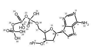 CCCO[C@@H]1C[C@H](n2cnc3c(N)ncnc32)OC1COP(=O)(O)OP(=O)(O)OP(=O)(O)O